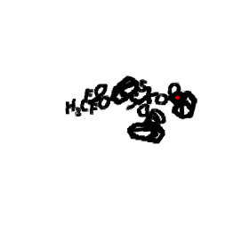 CC(F)(F)C(=O)OC12CC3CC(C1)C1(SCC(COC(=O)C45CC6CC(C4)C(=O)C(C6)C5)(COC(=O)C45CC6CC(C4)C(=O)C(C6)C5)CS1)C(C3)C2